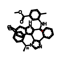 C=C(Nc1cc(C(=O)OC)ccc1C)c1[nH]c2cc(Cl)ccc2c1-c1c(-c2ccccc2)ncn1[C@@H](C)c1ccc(Cl)cc1